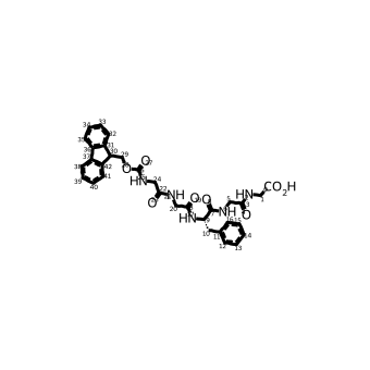 O=C(O)CNC(=O)CNC(=O)[C@H](Cc1ccccc1)NC(=O)CNC(=O)CNC(=O)OCC1c2ccccc2-c2ccccc21